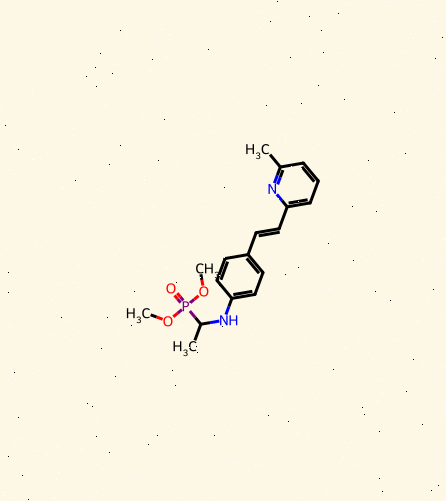 COP(=O)(OC)C(C)Nc1ccc(C=Cc2cccc(C)n2)cc1